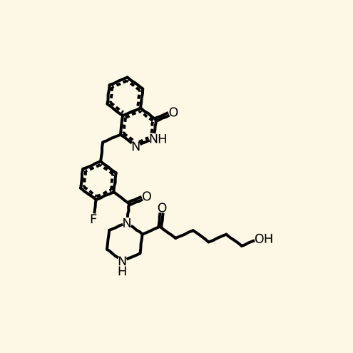 O=C(CCCCCO)C1CNCCN1C(=O)c1cc(Cc2n[nH]c(=O)c3ccccc23)ccc1F